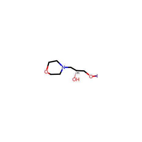 O[C@@H](COI)CN1CCOCC1